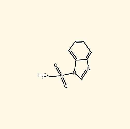 CCS(=O)(=O)n1cnc2ccccc21